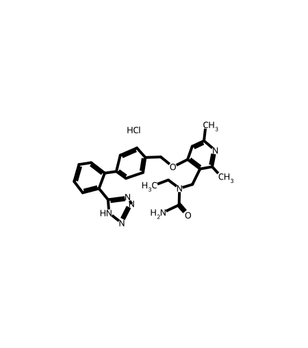 CCN(Cc1c(OCc2ccc(-c3ccccc3-c3nnn[nH]3)cc2)cc(C)nc1C)C(N)=O.Cl